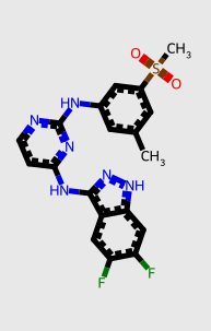 Cc1cc(Nc2nccc(Nc3n[nH]c4cc(F)c(F)cc34)n2)cc(S(C)(=O)=O)c1